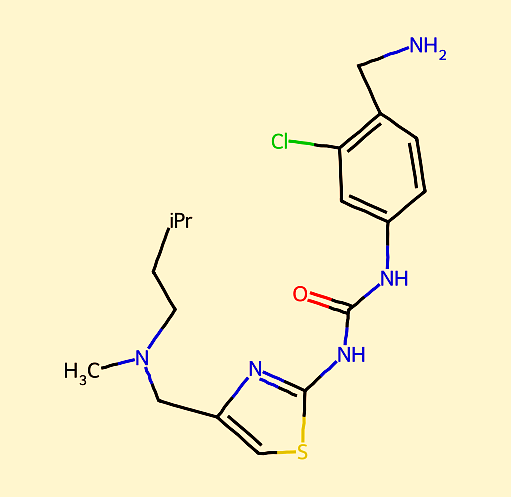 CC(C)CCN(C)Cc1csc(NC(=O)Nc2ccc(CN)c(Cl)c2)n1